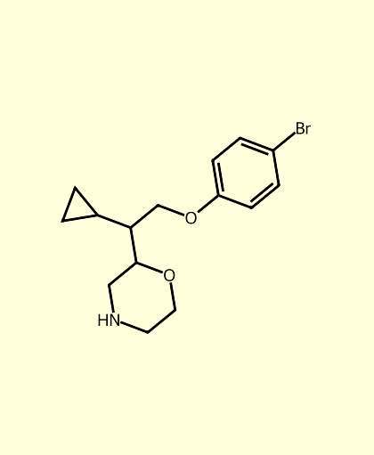 Brc1ccc(OCC(C2CC2)C2CNCCO2)cc1